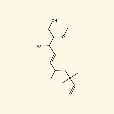 C=CC(C)(C)CC(C)/C=C/C(O)C(CO)OC